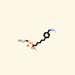 CC(CCCCCc1ccc(CN)cc1)O[PH](=O)CC(=O)O